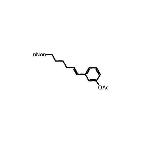 CCCCCCCCCCCCCC=Cc1cccc(OC(C)=O)c1